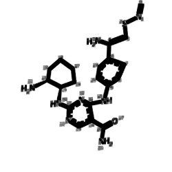 C=NS/C=C(\N)c1ccc(Nc2nc(N[C@@H]3CCCC[C@@H]3N)ncc2C(N)=O)cc1